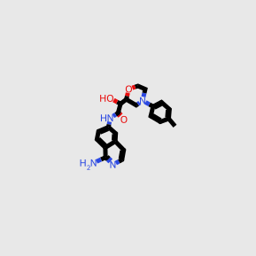 Cc1ccc(N2CCOC(C(O)C(=O)Nc3ccc4c(N)nccc4c3)C2)cc1